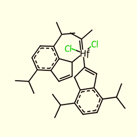 C[C](C)=[Hf]([Cl])([Cl])([C]1=Cc2c(C(C)C)ccc(C(C)C)c2C1)[CH]1C=Cc2c(C(C)C)ccc(C(C)C)c21